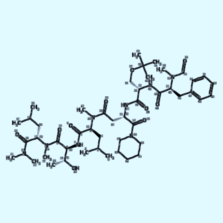 CC(C)C[C@@H](C(=O)N[C@H](C(=O)N(C)[C@@H](CC(C)C)C(=O)N(C)C)[C@@H](C)O)N(C)C(=O)C[C@H](NC(=O)[C@H](COC(C)(C)C)NC(=O)[C@H](Cc1ccccc1)N(C)C=O)C(=O)N1CCCCC1